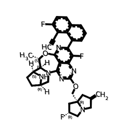 C#Cc1c(F)ccc2cccc(-c3nc4c5c(nc(OC[C@]67CC(=C)CN6C[C@H](F)C7)nc5c3F)N3C[C@H]5CC[C@H](N5)[C@H]3[C@H](C)O4)c12